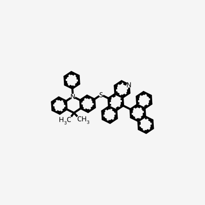 CC1(C)c2ccccc2N(c2ccccc2)c2cc(Sc3c4ccccc4c(-c4cc5ccccc5c5ccccc45)c4cnccc34)ccc21